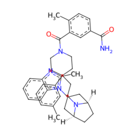 Cc1cccc(C2(CCN3[C@@H]4CC[C@H]3CC(n3c(C)nc5ccccc53)C4)CCN(C(=O)c3cc(C(N)=O)ccc3C)CC2)c1